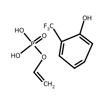 C=COP(=O)(O)O.Oc1ccccc1C(F)(F)F